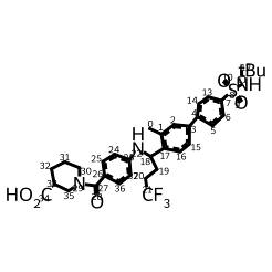 Cc1cc(-c2ccc(S(=O)(=O)NC(C)(C)C)cc2)ccc1C(CCC(F)(F)F)Nc1ccc(C(=O)N2CCC[C@@H](C(=O)O)C2)cc1